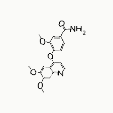 COc1cc2nccc(Oc3ccc(C(N)=O)cc3OC)c2cc1OC